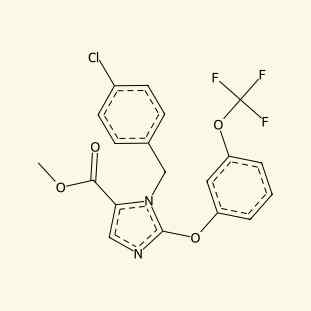 COC(=O)c1cnc(Oc2cccc(OC(F)(F)F)c2)n1Cc1ccc(Cl)cc1